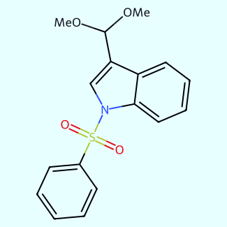 COC(OC)c1cn(S(=O)(=O)c2ccccc2)c2ccccc12